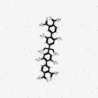 CCC(CC)(c1cc(C)c(-c2ccc(C(=O)O)c(C(=O)O)c2)c(C)c1)c1cc(C)c(-c2ccc(C(=O)O)c(C(=O)O)c2)c(C)c1